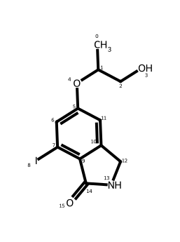 CC(CO)Oc1cc(I)c2c(c1)CNC2=O